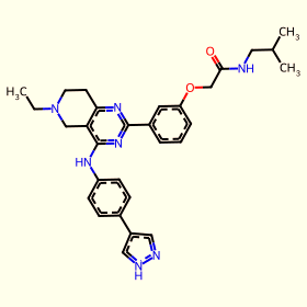 CCN1CCc2nc(-c3cccc(OCC(=O)NCC(C)C)c3)nc(Nc3ccc(-c4cn[nH]c4)cc3)c2C1